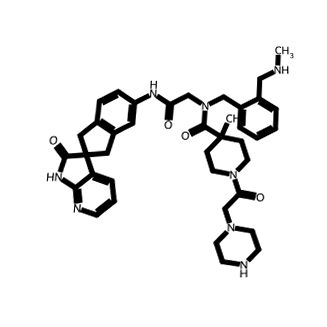 CNCc1ccccc1CN(CC(=O)Nc1ccc2c(c1)CC1(C2)C(=O)Nc2ncccc21)C(=O)C1(C)CCN(C(=O)CN2CCNCC2)CC1